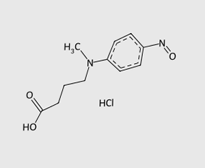 CN(CCCC(=O)O)c1ccc(N=O)cc1.Cl